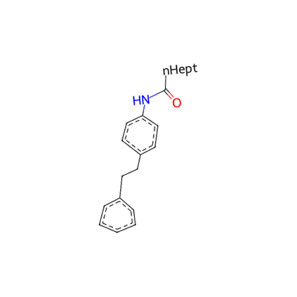 CCCCCCCC(=O)Nc1ccc(CCc2ccccc2)cc1